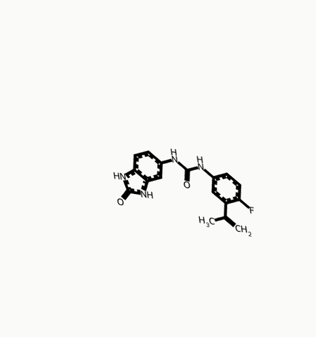 C=C(C)c1cc(NC(=O)Nc2ccc3[nH]c(=O)[nH]c3c2)ccc1F